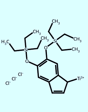 CC[Si](CC)(CC)Oc1cc2c(cc1O[Si](CC)(CC)CC)[CH]([Ti+3])C=C2.[Cl-].[Cl-].[Cl-]